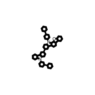 c1ccc(-c2ccc(-n3c4ccc(-c5ccc6c(c5)c5ccccc5n6-c5cccc(-c6ccccc6)c5)cc4c4ccc5c6ccccc6oc5c43)cc2)cc1